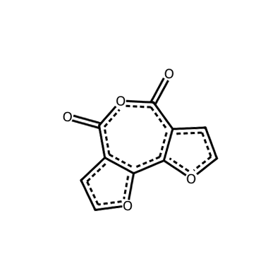 O=c1oc(=O)c2ccoc2c2occc12